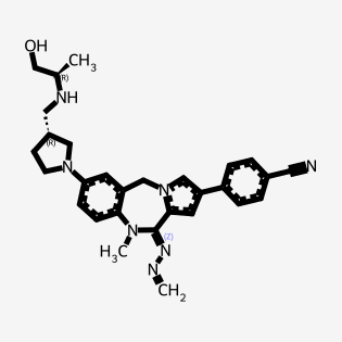 C=N/N=C1/c2cc(-c3ccc(C#N)cc3)cn2Cc2cc(N3CC[C@H](CN[C@H](C)CO)C3)ccc2N1C